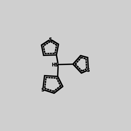 c1cc([SiH](c2ccsc2)c2ccsc2)cs1